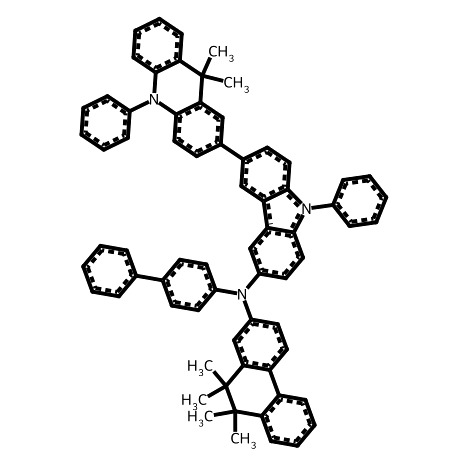 CC1(C)c2ccccc2N(c2ccccc2)c2ccc(-c3ccc4c(c3)c3cc(N(c5ccc(-c6ccccc6)cc5)c5ccc6c(c5)C(C)(C)C(C)(C)c5ccccc5-6)ccc3n4-c3ccccc3)cc21